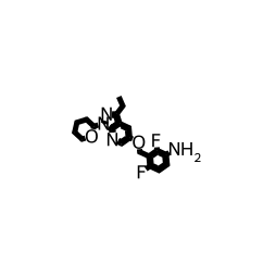 CCc1nn(C2CCCCO2)c2ncc(OCc3c(F)ccc(N)c3F)cc12